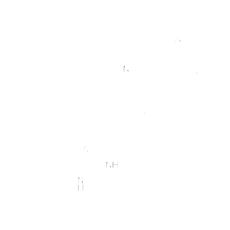 COc1cc2nccc(Oc3ccc(NC(=S)Nc4cccc(C)c4)cc3)c2cc1OC